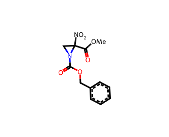 COC(=O)C1([N+](=O)[O-])CN1C(=O)OCc1ccccc1